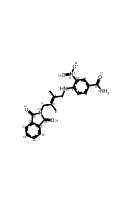 C/C(CNc1ccc(C(N)=O)cc1[N+](=O)[O-])=C(/C)CN1C(=O)c2ccccc2C1=O